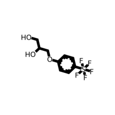 OCC(O)COc1ccc(S(F)(F)(F)(F)F)cc1